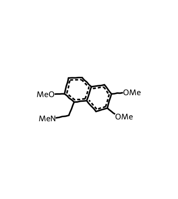 CNCc1c(OC)ccc2cc(OC)c(OC)cc12